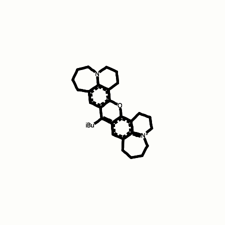 CCC(C)C1=c2cc3c4c(c2Oc2c1cc1c5c2CCCN5CCCC1)CCC[N+]=4CCCC3